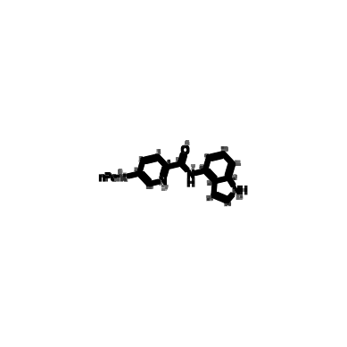 CCCCCc1ccc(C(=O)Nc2cccc3[nH]ccc23)nc1